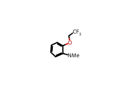 CNc1ccccc1OCC(F)(F)F